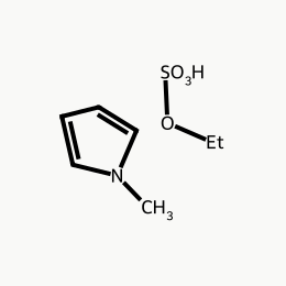 CCOS(=O)(=O)O.Cn1cccc1